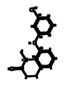 CN1C(=O)CCc2cccc(Oc3cccc(Cl)c3)c21